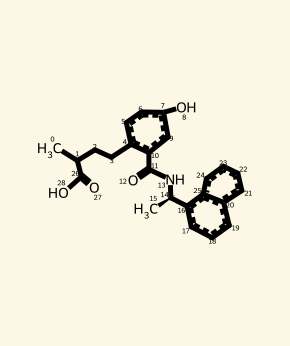 CC(CCc1ccc(O)cc1C(=O)N[C@H](C)c1cccc2ccccc12)C(=O)O